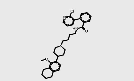 COc1c(C2CCN(CCCCNC(=O)c3ccccc3-c3cccnc3Cl)CC2)ccc2c1CCCC2